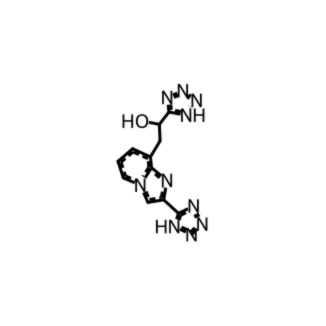 OC(Cc1cccn2cc(-c3nnn[nH]3)nc12)c1nnn[nH]1